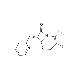 CC1=C(I)CSC2/C(=C\c3ccccn3)C(=O)N12